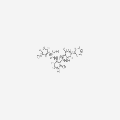 Cc1nc(N2CCOCC2)cc2[nH]c(-c3c(NC[C@@H](O)c4cccc(Cl)c4)cc[nH]c3=O)nc12